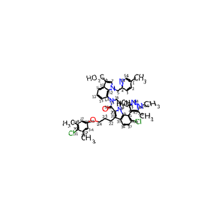 Cc1ccc(Cn2cc(C(=O)O)c3cccc(N4C[C@@H](C)n5c(c(CCCOc6cc(C)c(Cl)c(C)c6)c6ccc(Cl)c(-c7c(C)nn(C)c7C)c65)C4=O)c32)nc1